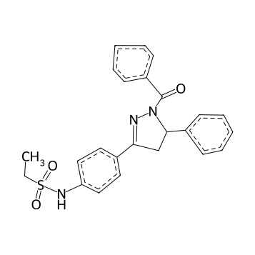 CCS(=O)(=O)Nc1ccc(C2=NN(C(=O)c3ccccc3)C(c3ccccc3)C2)cc1